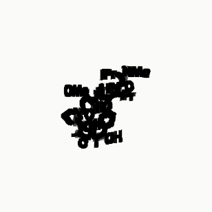 CC[C@H](C)C(C(CC(=O)N1CCC[C@H]1[C@H](O)[C@@H](C)C(=O)N[C@H](C)[C@@H](O)c1ccccc1)OC)N(C)C(=O)C(NC(=O)[C@@H](NC)C(C)C)C(C)C